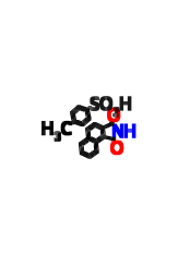 Cc1ccc(S(=O)(=O)O)cc1.O=C1NC(=O)c2c1ccc1ccccc21